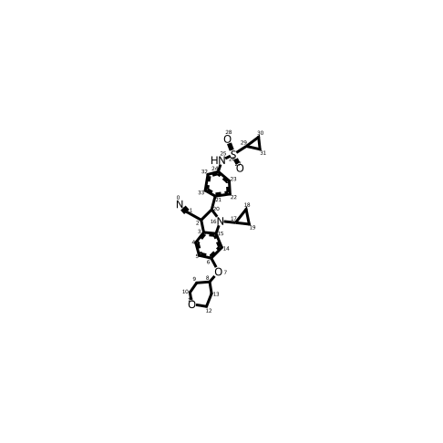 N#CC1c2ccc(OC3CCOCC3)cc2N(C2CC2)C1c1ccc(NS(=O)(=O)C2CC2)cc1